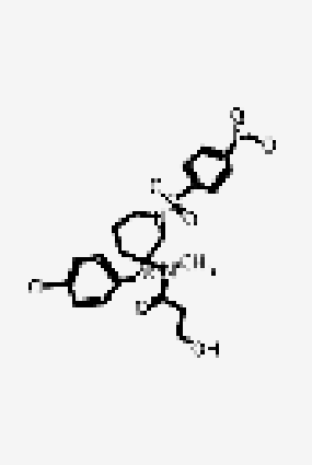 CN(C(=O)CCO)[C@@]1(Cc2ccc(Cl)cc2)CCCN(S(=O)(=O)c2ccc([N+](=O)[O-])cc2)C1